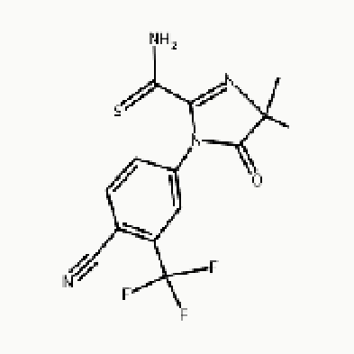 CC1(C)N=C(C(N)=S)N(c2ccc(C#N)c(C(F)(F)F)c2)C1=O